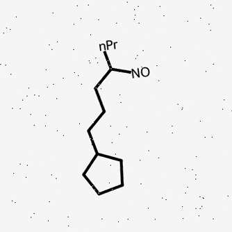 CCCC(CCCC1CCCC1)N=O